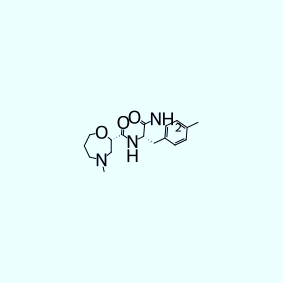 Cc1ccc(C[C@H](NC(=O)[C@@H]2CN(C)CCCO2)C(N)=O)cc1